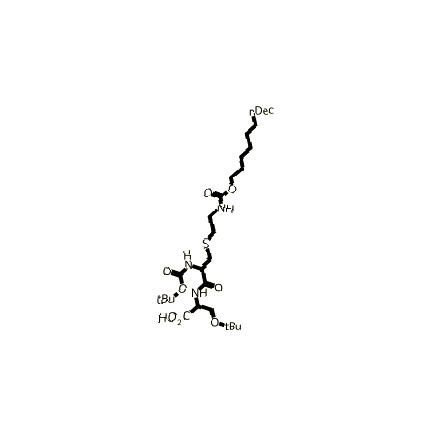 CCCCCCCCCCCCCCCCOC(=O)NCCSCC(NC(=O)OC(C)(C)C)C(=O)NC(COC(C)(C)C)C(=O)O